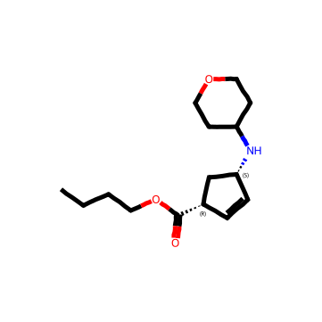 CCCCOC(=O)[C@H]1C=C[C@@H](NC2CCOCC2)C1